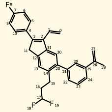 C=CC1=C(c2ccc(F)cc2)Cc2cc(CCC(F)F)c(-c3cccc(C(=C)C)c3)cc21